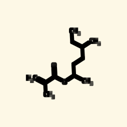 C=C(C)C(=O)OC(C)CCC(C)CC